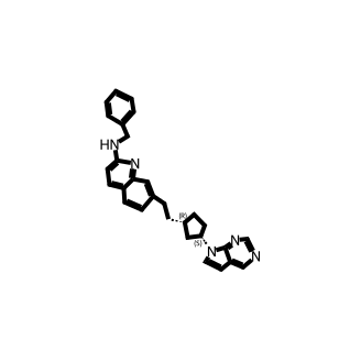 c1ccc(CNc2ccc3ccc(CC[C@@H]4CC[C@H](n5ccc6cncnc65)C4)cc3n2)cc1